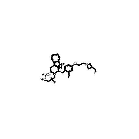 C[C@@H]1Cc2c([nH]c3ccccc23)[C@@H](Cc2c(F)cc(OCCN3CC(CF)C3)cc2F)N1CC(F)(F)CO